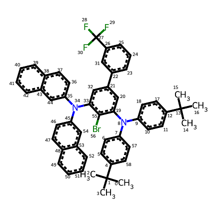 CC(C)(C)c1ccc(N(c2ccc(C(C)(C)C)cc2)c2cc(-c3cccc(C(F)(F)F)c3)cc(N(c3ccc4ccccc4c3)c3ccc4ccccc4c3)c2Br)cc1